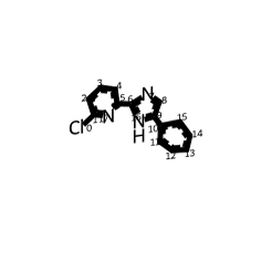 Clc1cccc(-c2ncc(-c3ccccc3)[nH]2)n1